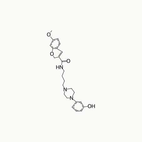 COc1ccc2c(c1)OCC(C(=O)NCCCCN1CCN(c3cccc(O)c3)CC1)=C2